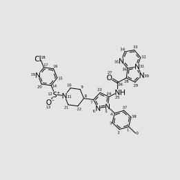 Cc1ccc(-n2nc(C3CCN([S+]([O-])c4ccc(Cl)nc4)CC3)cc2NC(=O)c2cnn3cccnc23)cc1